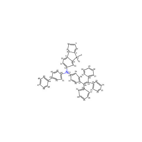 CC1(C)c2ccccc2-c2ccc(N(c3ccc(C(=C(c4ccccc4)c4ccccc4)c4ccccc4)cc3)c3ccc(-c4ccccc4)cc3)cc21